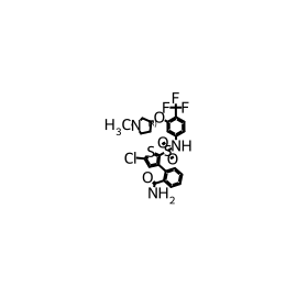 CN1CC[C@@H](Oc2cc(NS(=O)(=O)c3sc(Cl)cc3-c3ccccc3C(N)=O)ccc2C(F)(F)F)C1